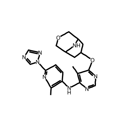 Cc1nc(-n2cncn2)ccc1Nc1ncnc(OC2CC3COCC(C2)N3)c1C